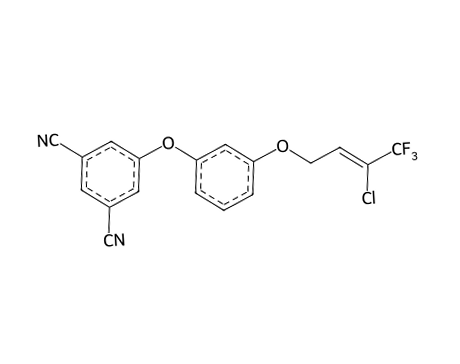 N#Cc1cc(C#N)cc(Oc2cccc(OC/C=C(\Cl)C(F)(F)F)c2)c1